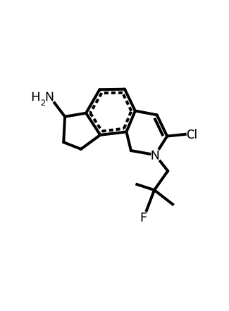 CC(C)(F)CN1Cc2c(ccc3c2CCC3N)C=C1Cl